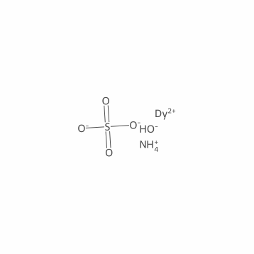 O=S(=O)([O-])[O-].[Dy+2].[NH4+].[OH-]